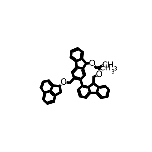 CCOCC1c2ccccc2-c2cccc(-c3cc4c(cc3COC3Cc5cccc6cccc3c56)-c3ccccc3C4OCC)c21